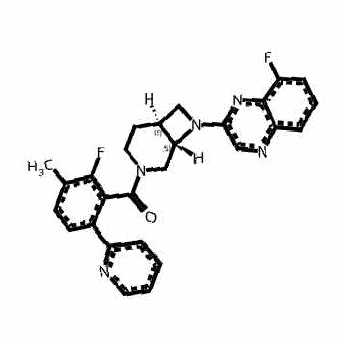 Cc1ccc(-c2ccccn2)c(C(=O)N2CC[C@H]3CN(c4cnc5cccc(F)c5n4)[C@@H]3C2)c1F